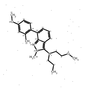 CCCN(CCOC)c1c2cccc(-c3ccc(OC)cc3C)c2nn1C